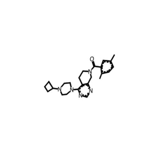 Cc1ccc(C)c(C(=O)N2CCc3c(ncnc3N3CCN(C4CCC4)CC3)C2)c1